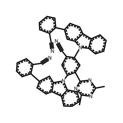 Cc1nc(C)nc(-c2cc(-n3c4ccccc4c4ccc(-c5ccccc5C#N)cc43)c(C#N)cc2-n2c3ccccc3c3ccc(-c4ccccc4C#N)cc32)n1